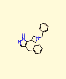 c1ccc(Cc2cn[nH]c2C2CN(Cc3ccccc3)C2)cc1